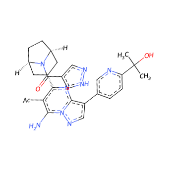 CC(=O)c1c([C@@H]2C[C@H]3CC[C@@H](C2)N3C(=O)c2cn[nH]c2)nc2c(-c3ccc(C(C)(C)O)nc3)cnn2c1N